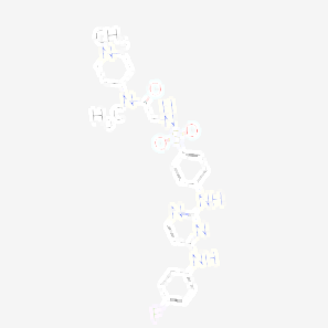 CN1CCC(N(C)C(=O)CNS(=O)(=O)c2ccc(Nc3nccc(Nc4ccc(F)cc4)n3)cc2)CC1